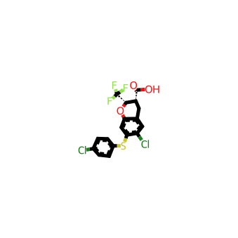 O=C(O)[C@@H]1Cc2cc(Cl)c(Sc3ccc(Cl)cc3)cc2O[C@@H]1C(F)(F)F